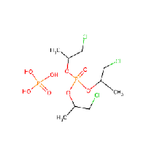 CC(CCl)OP(=O)(OC(C)CCl)OC(C)CCl.O=P(O)(O)O